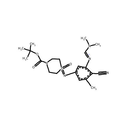 Cc1cc(N=S2(=O)CCN(C(=O)OC(C)(C)C)CC2)cc(/N=C/N(C)C)c1C#N